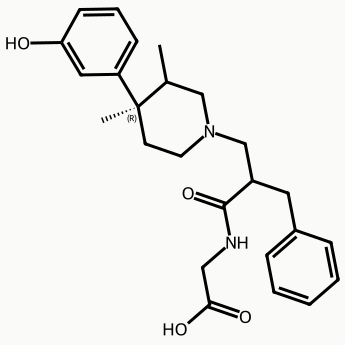 CC1CN(CC(Cc2ccccc2)C(=O)NCC(=O)O)CC[C@@]1(C)c1cccc(O)c1